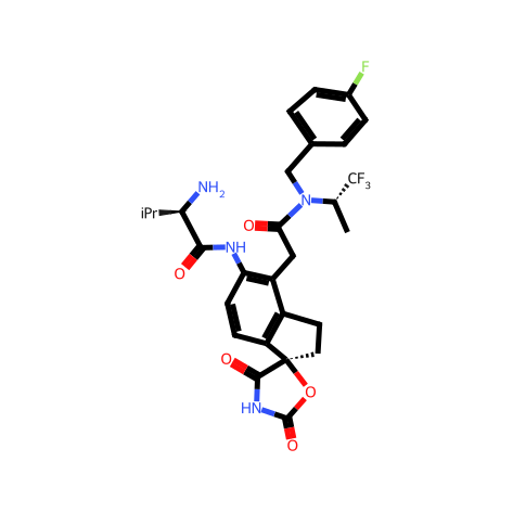 CC(C)[C@@H](N)C(=O)Nc1ccc2c(c1CC(=O)N(Cc1ccc(F)cc1)[C@@H](C)C(F)(F)F)CC[C@@]21OC(=O)NC1=O